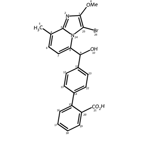 COc1nc2c(C)ccc(C(O)c3ccc(-c4ccccc4C(=O)O)cc3)n2c1Br